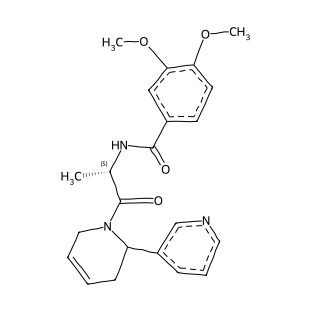 COc1ccc(C(=O)N[C@@H](C)C(=O)N2CC=CCC2c2cccnc2)cc1OC